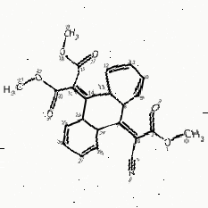 COC(=O)C(C#N)=C1C2C=CC=CC2C(=C(C(=O)OC)C(=O)OC)C2C=CC=CC12